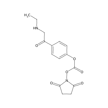 CCNCC(=O)c1ccc(OC(=O)ON2C(=O)CCC2=O)cc1